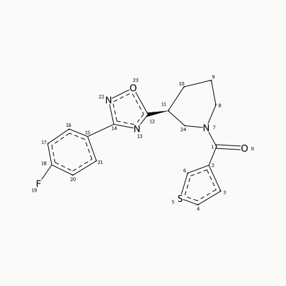 O=C(c1ccsc1)N1CCC[C@H](c2nc(-c3ccc(F)cc3)no2)C1